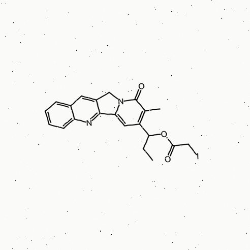 CCC(OC(=O)CI)c1cc2n(c(=O)c1C)Cc1cc3ccccc3nc1-2